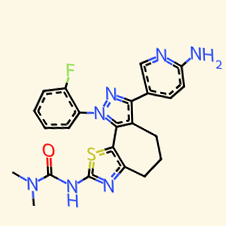 CN(C)C(=O)Nc1nc2c(s1)-c1c(c(-c3ccc(N)nc3)nn1-c1ccccc1F)CCC2